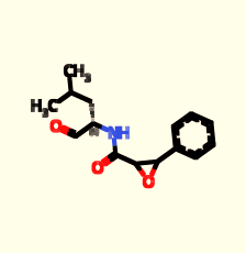 CC(C)C[C@@H](C=O)NC(=O)C1OC1c1ccccc1